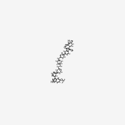 CC(C)Oc1ccc2[nH]nc(-c3cc(N4CCOC(CCN5CCN(CC6CCN(c7ccc8c(c7)C(=O)N(C7CCC(=O)NC7=O)C8=O)CC6)CC5)C4)ncn3)c2c1